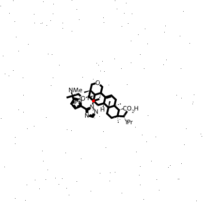 CN[C@@](C)(CO[C@H]1[C@H](n2ncnc2-c2cccs2)C[C@@]23COC[C@]1(C)[C@@H]2CC[C@H]1C3=CC[C@@]2(C)[C@H](C(=O)O)[C@@](C)([C@H](C)C(C)C)CC[C@]12C)C(C)C